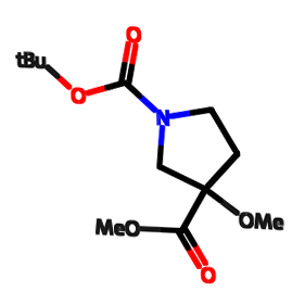 COC(=O)C1(OC)CCN(C(=O)OC(C)(C)C)C1